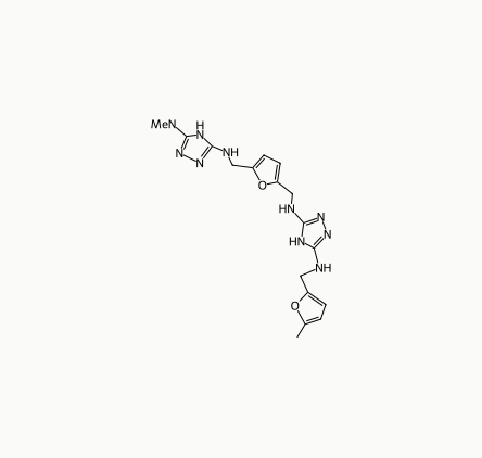 CNc1nnc(NCc2ccc(CNc3nnc(NCc4ccc(C)o4)[nH]3)o2)[nH]1